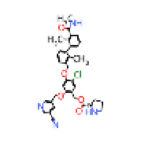 CNC(=O)c1cccc(-c2cccc(COc3cc(OCc4cncc(C#N)c4)c(COC(=O)[C@@H]4CCCN4)cc3Cl)c2C)c1C